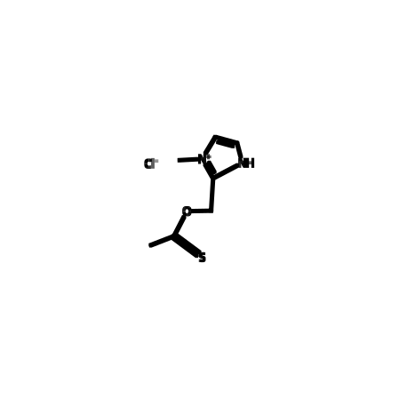 CC(=S)OCc1[nH]cc[n+]1C.[Cl-]